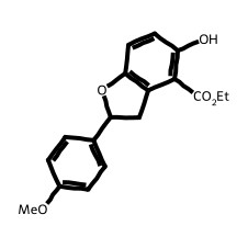 CCOC(=O)c1c(O)ccc2c1CC(c1ccc(OC)cc1)O2